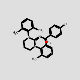 Cc1cccc(C)c1N1CCCN(c2c(C)cccc2C)C1=NC(=O)c1ccc(Cl)cc1